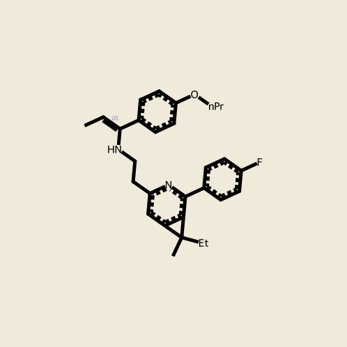 C/C=C(\NCCc1cc2c(c(-c3ccc(F)cc3)n1)C2(C)CC)c1ccc(OCCC)cc1